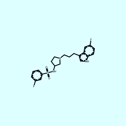 O=S(=O)(NC1CCN(CCCc2c[nH]c3ccc(F)cc23)C1)c1cccc(F)c1